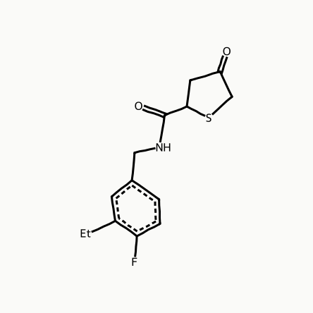 CCc1cc(CNC(=O)C2CC(=O)CS2)ccc1F